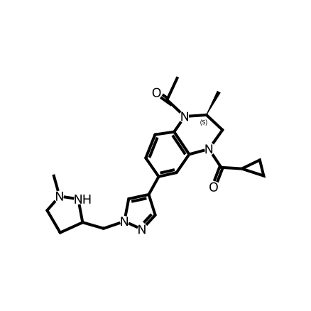 CC(=O)N1c2ccc(-c3cnn(CC4CCN(C)N4)c3)cc2N(C(=O)C2CC2)C[C@@H]1C